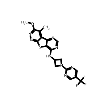 COc1nnc2sc3c(NC4CN(c5ncc(C(F)(F)F)cn5)C4)ncnc3c2c1C